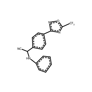 N#CC(Nc1ccccc1)c1ccc(-c2noc(C(F)(F)F)n2)cc1